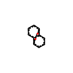 c1cc2c3cccc(c3c1)CCCC2